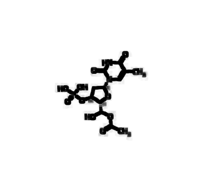 CC(=O)OC(O)[C@H]1O[C@@H](n2cc(C)c(=O)[nH]c2=O)C[C@@H]1OP(=O)(O)O